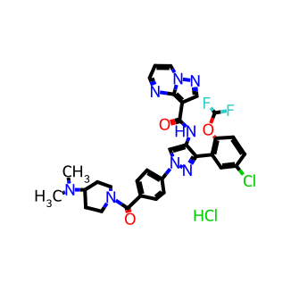 CN(C)C1CCN(C(=O)c2ccc(-n3cc(NC(=O)c4cnn5cccnc45)c(-c4cc(Cl)ccc4OC(F)F)n3)cc2)CC1.Cl